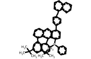 CC(C)(C)c1cc(-c2cccc3cccc(-c4ccccc4N(c4ccccc4)c4ccc(-c5ccc(-c6cccc7ccccc67)cc5)cc4)c23)cc(C(C)(C)C)c1